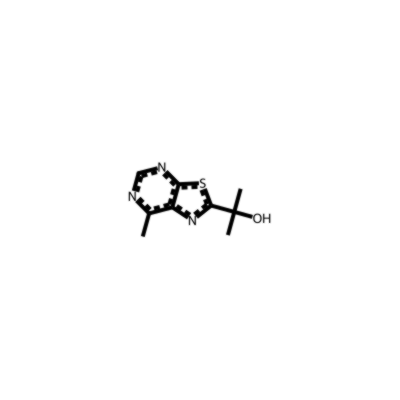 Cc1ncnc2sc(C(C)(C)O)nc12